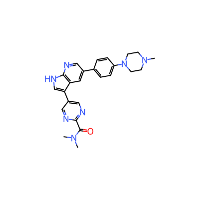 CN1CCN(c2ccc(-c3cnc4[nH]cc(-c5cnc(C(=O)N(C)C)nc5)c4c3)cc2)CC1